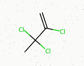 C=C(Cl)C(C)(Cl)Cl